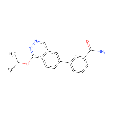 C[C@H](Oc1nncc2cc(-c3cccc(C(N)=O)c3)ccc12)C(F)(F)F